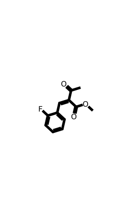 COC(=O)C(=Cc1ccccc1F)C(C)=O